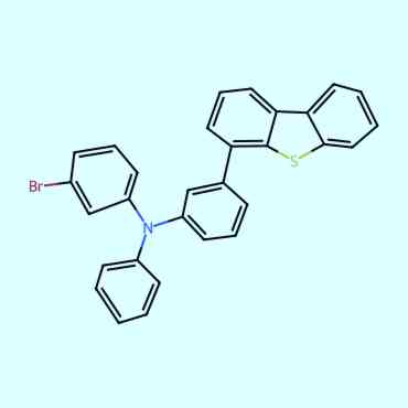 Brc1cccc(N(c2ccccc2)c2cccc(-c3cccc4c3sc3ccccc34)c2)c1